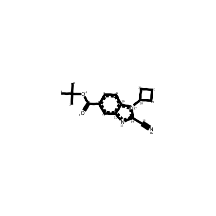 CC(C)(C)OC(=O)c1ccc2c(c1)nc(C#N)n2C1CCC1